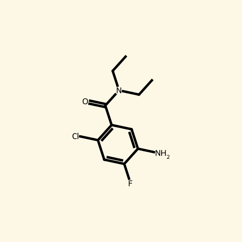 CCN(CC)C(=O)c1cc(N)c(F)cc1Cl